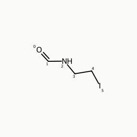 O=CNCCI